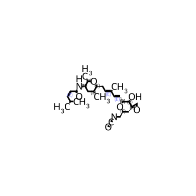 CC(/C=C/[C@H]1O[C@H](CN=C=O)C[C@@]2(CO2)[C@@H]1O)=C\C[C@@H]1O[C@H](C)[C@H](NC(=O)/C=C\C(C)C)C[C@@H]1C